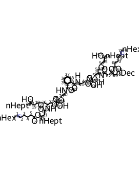 CCCCCC/C=C/CCCC(=O)O[C@H](CCCCCCC)CC(=O)NC(COCC[C@H](O)CCCCCCC)COP(=O)(O)OCCNC(=O)c1ccccc1C(=O)NCCOP(=O)(O)OCC(COCC[C@H](O)CCCCCCC)NC(=O)C[C@@H](CCCCCCCCCCC)OC(=O)CCC/C=C/CCCCCC